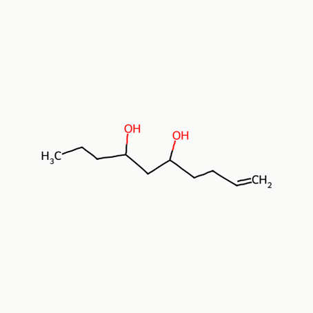 C=CCCC(O)CC(O)CCC